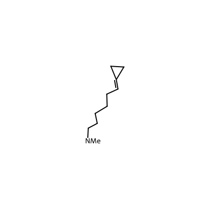 CNCCCCCC=C1CC1